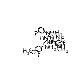 CNCC(C(=O)/N=C(/Nc1cccc(F)c1)NC(N)CC(N)c1ccc(OC)c(F)c1)C(N)C(F)(F)F